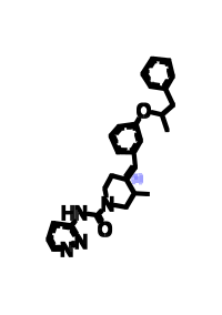 CC(Cc1ccccc1)Oc1cccc(/C=C2\CCN(C(=O)Nc3cccnn3)CC2C)c1